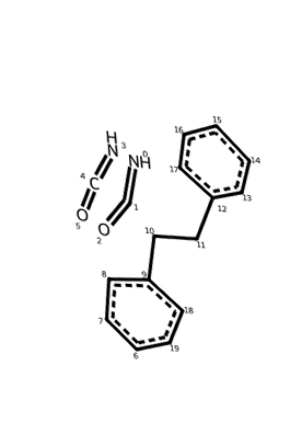 N=C=O.N=C=O.c1ccc(CCc2ccccc2)cc1